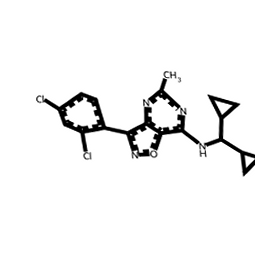 Cc1nc(NC(C2CC2)C2CC2)c2onc(-c3ccc(Cl)cc3Cl)c2n1